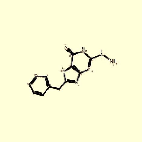 NNc1nc2nc(Cc3ccccc3)[nH]c2c(=O)[nH]1